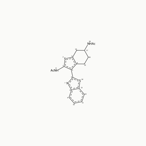 CC(=O)Nc1sc2c(c1-c1nc3ccccc3s1)CCC(NC(C)=O)C2